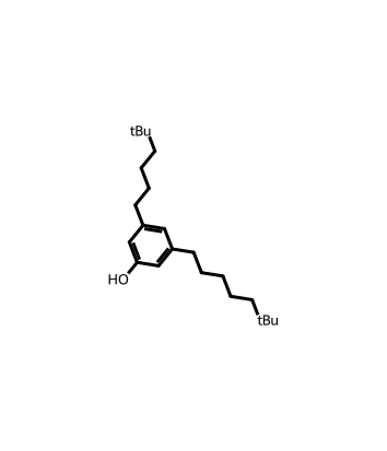 CC(C)(C)CCCCCc1cc(O)cc(CCCCC(C)(C)C)c1